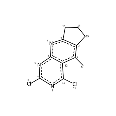 Cc1c2c(nc3nc(Cl)nc(Cl)c13)CCC2